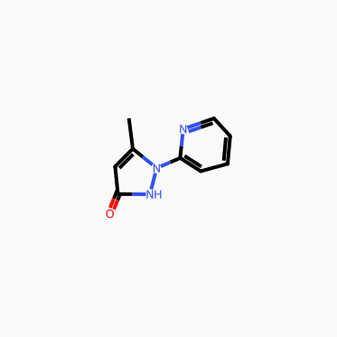 Cc1cc(=O)[nH]n1-c1ccccn1